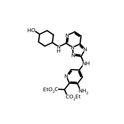 CCOC(=O)C(C(=O)OCC)c1ncc(Nc2nc3ccnc(NC4CCC(O)CC4)n3n2)cc1N